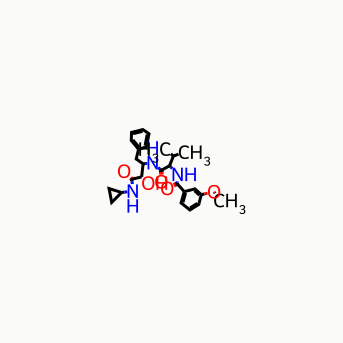 COc1cccc(C(=O)NC(C(=O)NC(Cc2ccccc2)C(O)C(=O)NC2CC2)C(C)C)c1